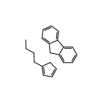 CCCCC1=CC=CC1.c1ccc2c(c1)Cc1ccccc1-2